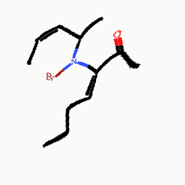 C/C=C\C(C)N(Br)/C(=C\CCC)C(C)=O